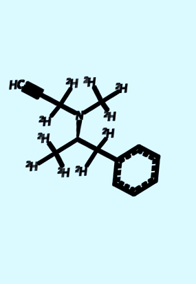 [2H]C([2H])([2H])[C@@H](N(C([2H])([2H])[2H])C([2H])([2H])C#C)C([2H])([2H])c1ccccc1